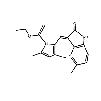 CCOC(=O)n1c(C)cc(C)c1C=C1C(=O)Nc2ccc(C)nc21